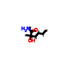 CCCCC(C)(O)C(N)=O